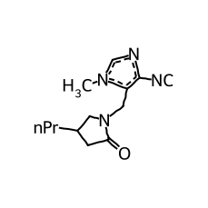 [C-]#[N+]c1ncn(C)c1CN1CC(CCC)CC1=O